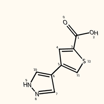 O=C(O)c1cc(-c2cn[nH]c2)cs1